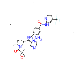 C[C@@H]1CC[C@@H](C2=C3C=NC=C[N+]3(N)C(c3ccc(C(=O)Nc4cc(C(F)(F)F)ccn4)cc3)=N2)CN1C(=O)C1(C)COC1